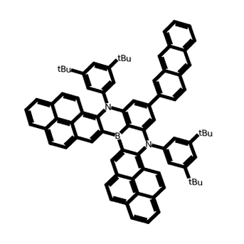 CC(C)(C)c1cc(N2c3cc(-c4ccc5cc6ccccc6cc5c4)cc4c3B(c3cc5ccc6cccc7ccc(c32)c5c67)c2cc3ccc5cccc6ccc(c2N4c2cc(C(C)(C)C)cc(C(C)(C)C)c2)c3c56)cc(C(C)(C)C)c1